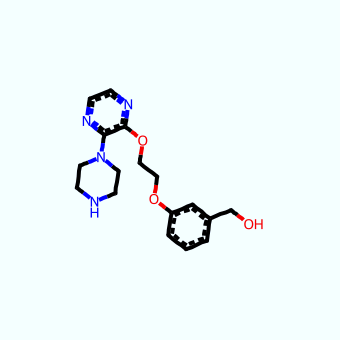 OCc1cccc(OCCOc2nccnc2N2CCNCC2)c1